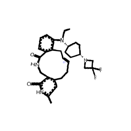 CCN(c1cccc2c1C/C=C/CCc1cc(C)[nH]c(=O)c1CNC2=O)[C@H]1CC[C@@H](N2CC(F)(F)C2)CC1